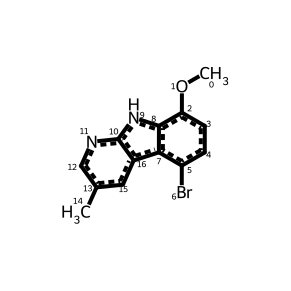 COc1ccc(Br)c2c1[nH]c1ncc(C)cc12